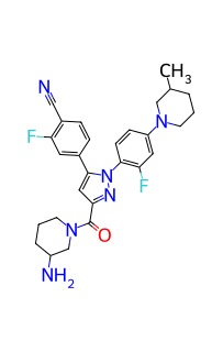 CC1CCCN(c2ccc(-n3nc(C(=O)N4CCCC(N)C4)cc3-c3ccc(C#N)c(F)c3)c(F)c2)C1